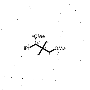 COCC(C)(C)[C@@H](OC)C(C)C